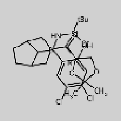 CC1(C)OC[C@H](C(=O)N2CC3CCC(C2)C3C(N[S+]([O-])C(C)(C)C)c2cc(Cl)c(Cl)cc2O)O1